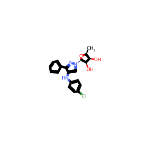 C[C@@H]1O[C@@H](n2cc(Nc3ccc(Cl)cc3)c(-c3ccccc3)n2)[C@H](O)[C@@H]1O